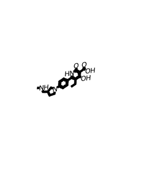 CCc1c(-c2ccc(N3CCC(CNC)C3)cc2)[nH]c(=O)c(C(=O)O)c1O